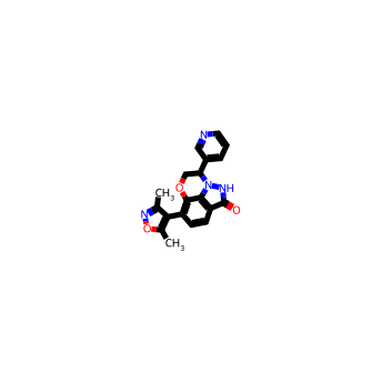 Cc1noc(C)c1-c1ccc2c(=O)[nH]n3c2c1OCC3c1cccnc1